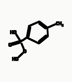 Cc1ccc(P(=O)(O)OO)cc1